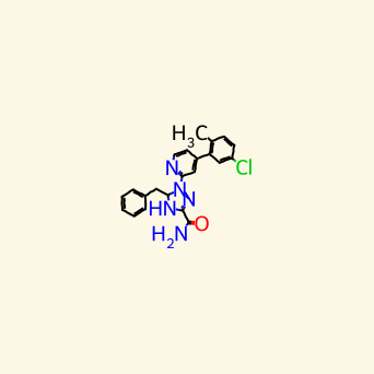 Cc1ccc(Cl)cc1-c1ccnc(N2N=C(C(N)=O)NC2Cc2ccccc2)c1